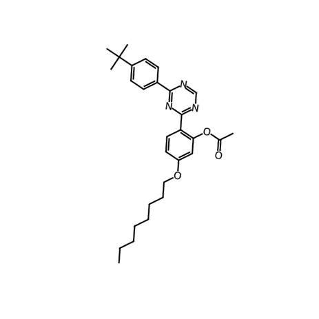 CCCCCCCCOc1ccc(-c2ncnc(-c3ccc(C(C)(C)C)cc3)n2)c(OC(C)=O)c1